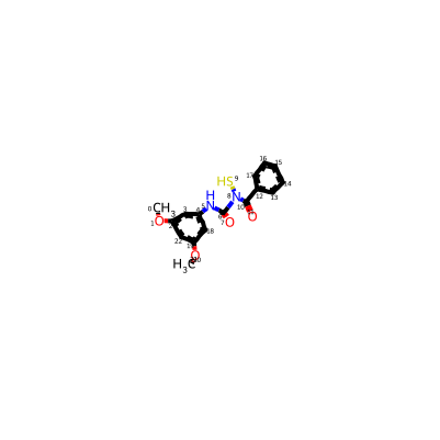 COc1cc(NC(=O)N(S)C(=O)c2ccccc2)cc(OC)c1